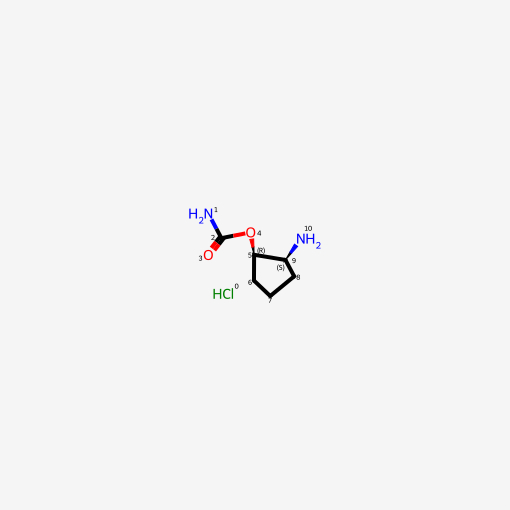 Cl.NC(=O)O[C@@H]1CCC[C@@H]1N